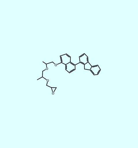 CC(COc1cccc2c(-c3cccc4c3Cc3ccccc3-4)cccc12)OCC(C)OCC1CO1